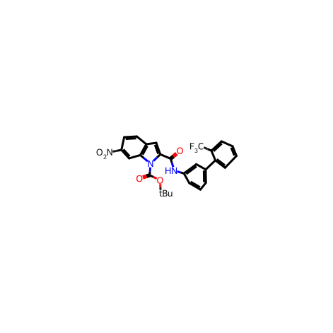 CC(C)(C)OC(=O)n1c(C(=O)Nc2cccc(-c3ccccc3C(F)(F)F)c2)cc2ccc([N+](=O)[O-])cc21